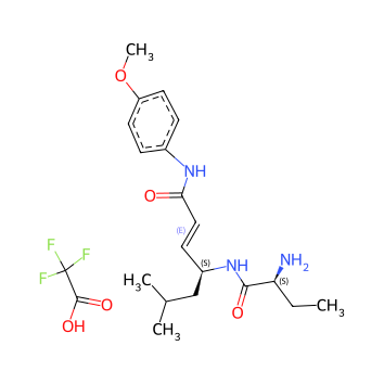 CC[C@H](N)C(=O)N[C@H](/C=C/C(=O)Nc1ccc(OC)cc1)CC(C)C.O=C(O)C(F)(F)F